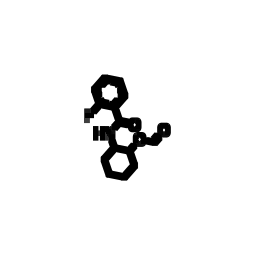 O=COC1CCCCC1NC(=O)c1ccccc1F